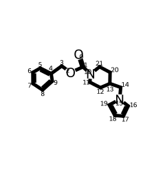 O=C(OCc1ccccc1)N1CCC(Cn2cccc2)CC1